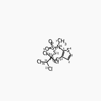 Cc1ccsc1N(C)S(=O)(=O)SC(Cl)(Cl)C(Cl)Cl